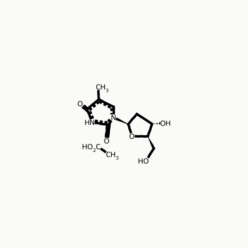 CC(=O)O.Cc1cn([C@H]2C[C@H](O)[C@@H](CO)O2)c(=O)[nH]c1=O